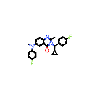 Cc1nc2ccc(N(C)c3ccc(F)cc3)cc2c(=O)n1C(c1ccc(F)cc1)C1CC1